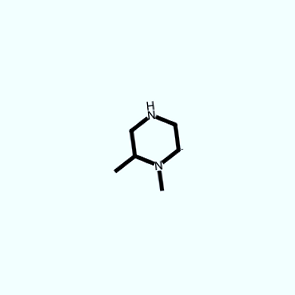 CC1CNC[CH]N1C